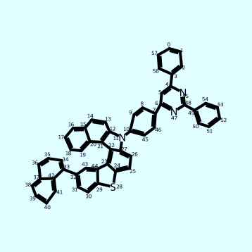 c1ccc(-c2cc(-c3ccc(-n4c5ccc6ccccc6c5c5c6c(ccc54)sc4ccc(-c5cccc7ccccc57)cc46)cc3)nc(-c3ccccc3)n2)cc1